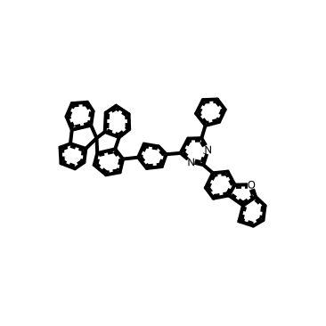 c1ccc(-c2cc(-c3ccc(-c4cccc5c4-c4ccccc4C54c5ccccc5-c5ccccc54)cc3)nc(-c3ccc4c(c3)oc3ccccc34)n2)cc1